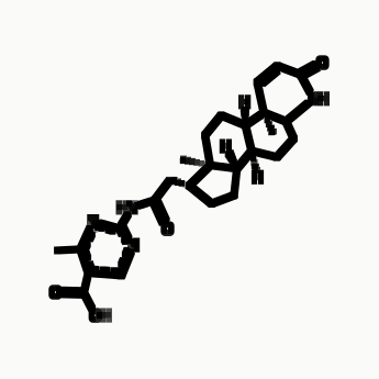 Cc1nc(NC(=O)C[C@H]2CC[C@H]3[C@@H]4CCC5NC(=O)C=C[C@]5(C)[C@H]4CC[C@]23C)ncc1C(=O)O